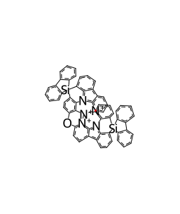 c1ccc2c(c1)-c1ccccc1[Si]21c2ccc3c4c2-n2c5c1cccc5c1ccc[n+](c12)[N+]41c2cccc4c2-n2c5c(cccc5c5ccc([n+]1c52)O3)[Si]41c2ccccc2-c2ccccc21